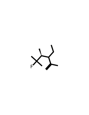 C=C(C)C(CC)[C@H](C)C(C)(C)F